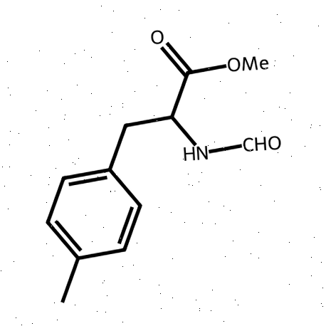 COC(=O)C(Cc1ccc(C)cc1)NC=O